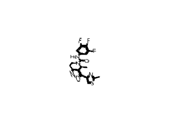 Cc1nc(-c2onc3c2C(C)N(C(=O)Nc2cc(F)c(F)c(F)c2)CC3)cs1